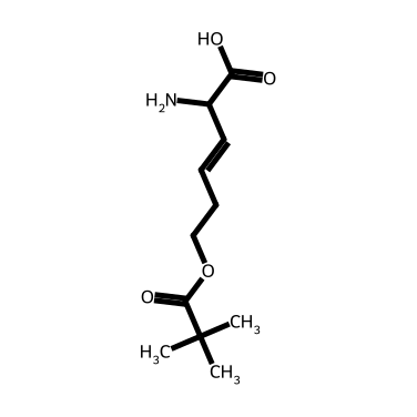 CC(C)(C)C(=O)OCC/C=C/C(N)C(=O)O